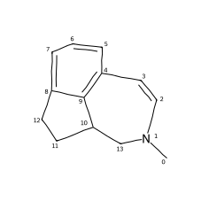 CN1C=Cc2cccc3c2C(CC3)C1